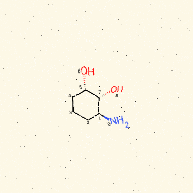 N[C@H]1CCC[C@H](O)[C@@H]1O